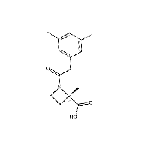 Cc1cc(C)cc(CC(=O)N2CC[C@@]2(C)C(=O)O)c1